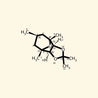 C[C@H]1C[C@@]2(C)O[C@@](C)(C1)[C@@H]1OC(C)(C)O[C@@H]12